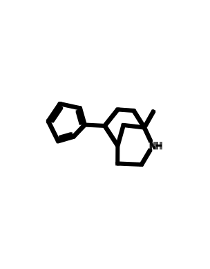 CC12CCC(c3ccccc3)C(CCN1)C2